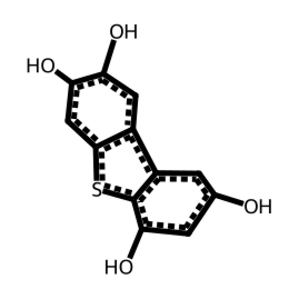 Oc1cc(O)c2sc3cc(O)c(O)cc3c2c1